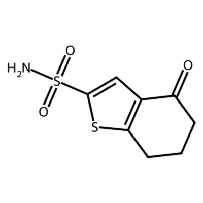 NS(=O)(=O)c1cc2c(s1)CCCC2=O